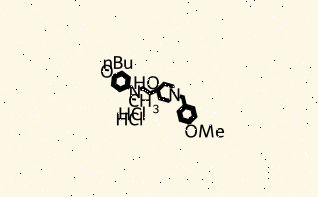 CCCCOc1ccc(N(C)CCC2(O)CCN(Cc3ccc(OC)cc3)CC2)cc1.Cl.Cl